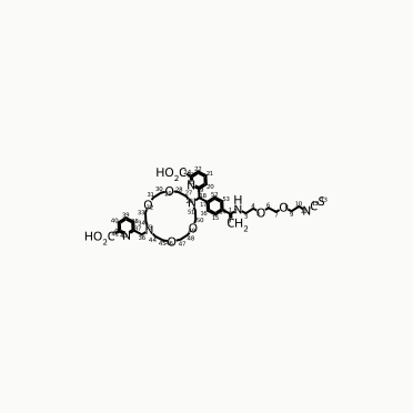 C=C(NCCOCCOCCN=C=S)c1ccc(C(c2cccc(C(=O)O)n2)N2CCOCCOCCN(Cc3cccc(C(=O)O)n3)CCOCCOCC2)cc1